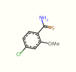 COc1cc(Cl)ccc1C(N)=S